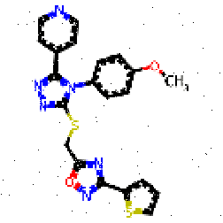 COc1ccc(-n2c(SCc3nc(-c4cccs4)no3)nnc2-c2ccncc2)cc1